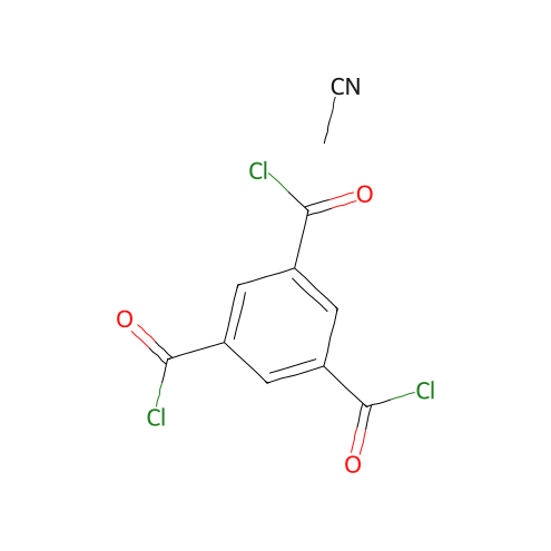 CC#N.O=C(Cl)c1cc(C(=O)Cl)cc(C(=O)Cl)c1